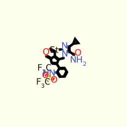 CCc1nc(C2CC2)c(C(N)=O)n1Cc1c2ccocc-2c(C(F)(F)F)c1-c1ccccc1NS(=O)(=O)C(F)(F)F